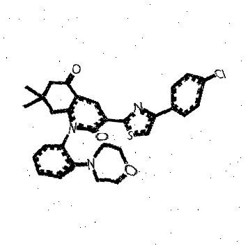 CC1(C)CC(=O)c2cc(-c3nc(-c4ccc(Cl)cc4)cs3)c(=O)n(-c3ccccc3N3CCOCC3)c2C1